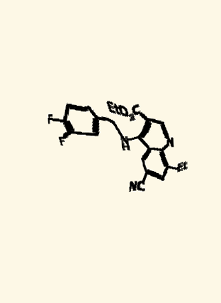 CCOC(=O)c1cnc2c(CC)cc(C#N)cc2c1NCc1ccc(F)c(F)c1